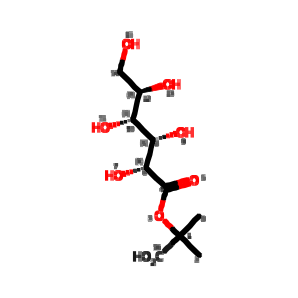 CC(C)(OC(=O)[C@H](O)[C@@H](O)[C@H](O)[C@H](O)CO)C(=O)O